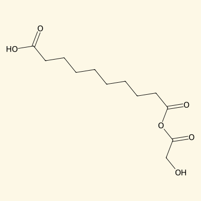 O=C(O)CCCCCCCCC(=O)OC(=O)CO